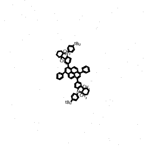 CC(C)(C)c1ccc(N2c3ccc(-c4cc(-c5ccccc5)c5ccc6c(-c7ccc8c(c7)C7(C)CCCCC7(C)N8c7ccc(C(C)(C)C)cc7)cc(-c7ccccc7)c7ccc4c5c76)cc3C3(C)CCCCC23C)cc1